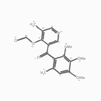 COc1cc(C)c(C(=O)c2cncc(C)c2OCCl)c(OC)c1OC